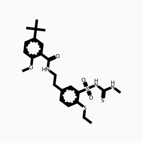 CCSc1ccc(CCNC(=O)c2cc(C(C)(C)C)ccc2OC)cc1S(=O)(=O)NC(=S)NC